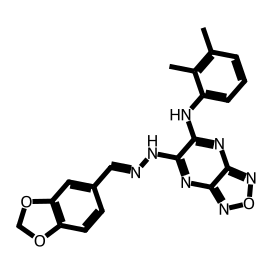 Cc1cccc(Nc2nc3nonc3nc2N/N=C/c2ccc3c(c2)OCO3)c1C